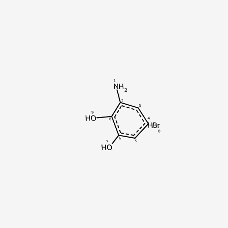 Br.Nc1cccc(O)c1O